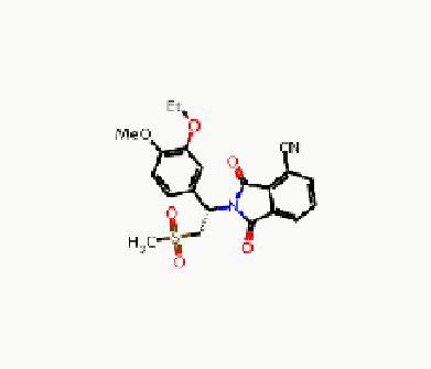 CCOc1cc([C@@H](CS(C)(=O)=O)N2C(=O)c3cccc(C#N)c3C2=O)ccc1OC